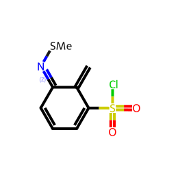 C=C1C(S(=O)(=O)Cl)=CC=C/C1=N/SC